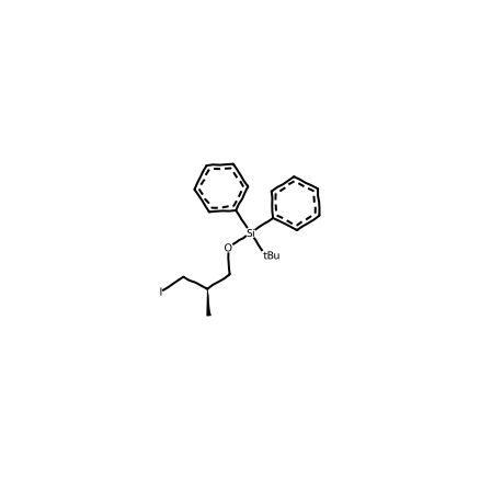 C[C@@H](CI)CO[Si](c1ccccc1)(c1ccccc1)C(C)(C)C